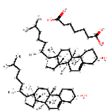 CC(C)CCC[C@@H](C)[C@H]1CC[C@H]2[C@@H]3CC=C4C[C@@H](O)CC[C@]4(C)[C@H]3CC[C@]12C.CC(C)CCC[C@@H](C)[C@H]1CC[C@H]2[C@@H]3CC=C4C[C@@H](O)CC[C@]4(C)[C@H]3CC[C@]12C.O=C(O)CCCCCC(=O)O